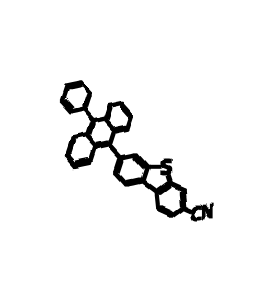 N#Cc1ccc2c(c1)sc1cc(-c3c4ccccc4c(-c4ccccc4)c4ccccc34)ccc12